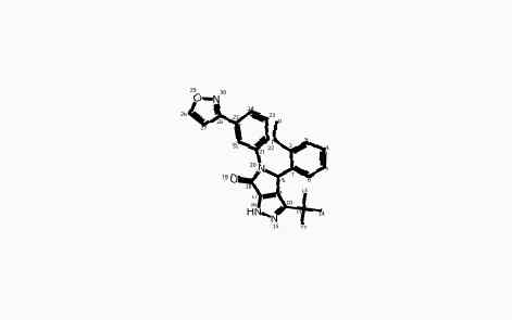 CCc1ccccc1C1c2c(C(C)(C)C)n[nH]c2C(=O)N1c1cccc(-c2ccon2)c1